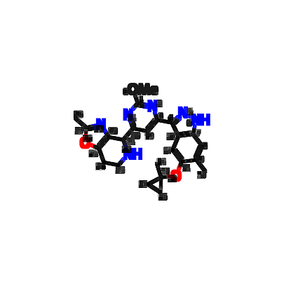 COc1nc(-c2n[nH]c3cc(C)c(OC4(C)CC4)cc23)cc(C2NCCc3oc(C)nc32)n1